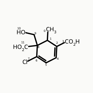 CC1C(C(=O)O)=CC=C(Cl)C1(CO)C(=O)O